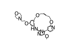 COc1cnc2nc1-c1ccnc(c1)OCC/C=C/COCc1cc(cc(OCCN3CCOCC3)c1)N2